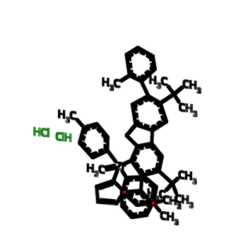 Cl.Cl.[CH2]=[Zr]([C]1=CC=CC1)([c]1ccc(C)cc1)([c]1ccc(C)cc1)[c]1c2c(cc(C(C)(C)C)c1-c1ccccc1C)-c1cc(C(C)(C)C)c(-c3ccccc3C)cc1C2